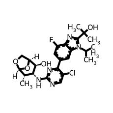 CC(C)n1c(C(C)(C)O)nc2c(F)cc(-c3nc(N[C@@H]4[C@H](C)[C@H]5OC[C@H](O5)[C@H]4O)ncc3Cl)cc21